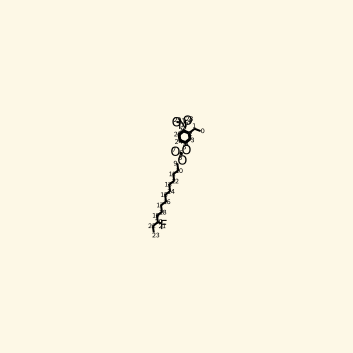 CCc1cc(OC(=O)OCCCCCCCCCCCC(F)CC)ccc1[N+](=O)[O-]